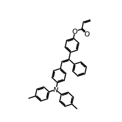 C=CC(=O)Oc1ccc(C(=Cc2ccc(N(c3ccc(C)cc3)c3ccc(C)cc3)cc2)c2ccccc2)cc1